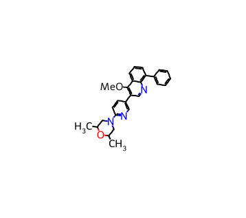 COc1c(-c2ccc(N3CC(C)OC(C)C3)nc2)cnc2c(-c3ccccc3)cccc12